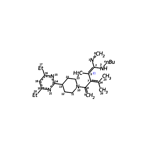 C=N/C(NCCCC)=C(\C)C(C(=C)N1CCC(c2nc(CC)cc(CC)n2)CC1)=C(C)C